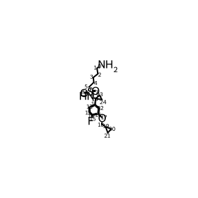 NCCCCCS(=O)(=O)NC1(c2ccc(F)c(OCC3CC3)c2)CC1